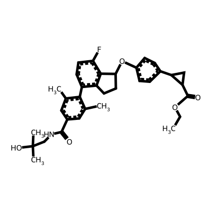 CCOC(=O)C1CC1c1ccc(OC2CCc3c(-c4c(C)cc(C(=O)NCC(C)(C)O)cc4C)ccc(F)c32)cc1